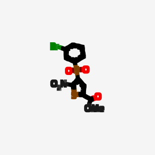 COC(=O)c1cc(S(=O)(=O)c2cccc(Br)c2)c([N+](=O)[O-])s1